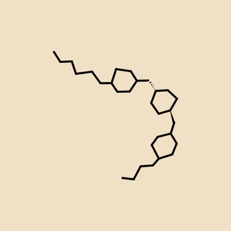 CCCCCCC1CCC(C[C@H]2CC[C@H](CC3CCC(CCCC)CC3)CC2)CC1